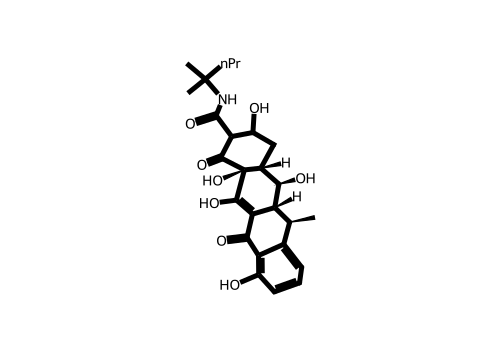 CCCC(C)(C)NC(=O)C1C(=O)[C@@]2(O)C(O)=C3C(=O)c4c(O)cccc4[C@H](C)[C@H]3[C@H](O)[C@H]2CC1O